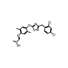 Cc1cc(Oc2nc(Cc3ccc(Cl)cc3Cl)ns2)c(C)cc1N=CN(C)C(C)C